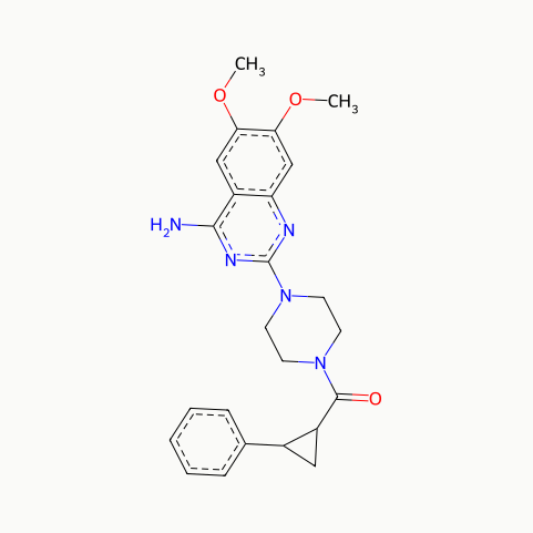 COc1cc2nc(N3CCN(C(=O)C4CC4c4ccccc4)CC3)nc(N)c2cc1OC